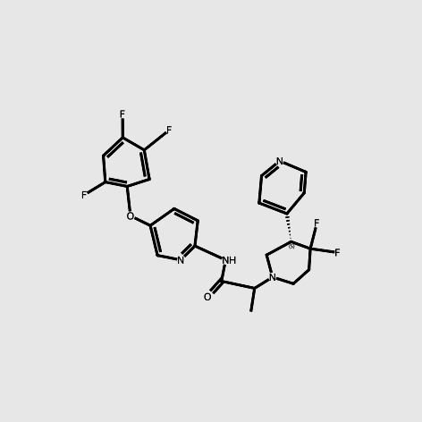 CC(C(=O)Nc1ccc(Oc2cc(F)c(F)cc2F)cn1)N1CCC(F)(F)[C@@H](c2ccncc2)C1